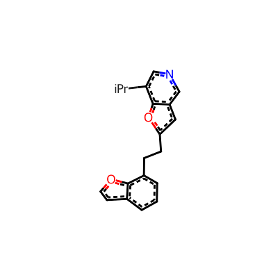 CC(C)c1cncc2cc(CCc3cccc4ccoc34)oc12